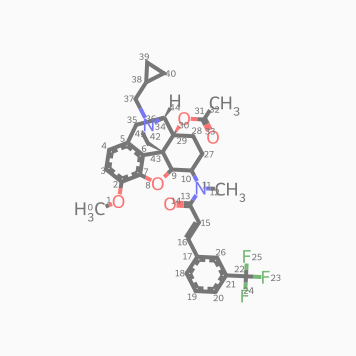 COc1ccc2c3c1OC1C(N(C)C(=O)/C=C/c4cccc(C(F)(F)F)c4)CC[C@@]4(OC(C)=O)[C@@H](C2)N(CC2CC2)CC[C@]314